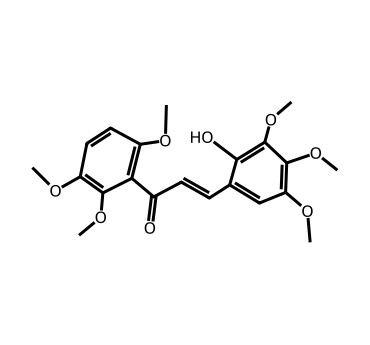 COc1cc(C=CC(=O)c2c(OC)ccc(OC)c2OC)c(O)c(OC)c1OC